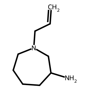 C=CCN1CCCCC(N)C1